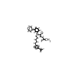 C=C(F)CCC(=O)N(CCCCCc1nc(C2CC2)no1)c1cccc(N2CCOCC2)c1